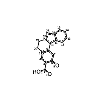 O=C(O)c1cn2c(cc1=O)-c1c3ccccc3nn1CC2